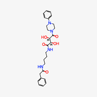 O=C(Cc1ccccc1)NCCCCNC(=O)[C@H](O)[C@@H](O)C(=O)N1CCN(c2ccccc2)CC1